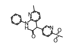 CC(=O)C(c1ccc(S(C)(=O)=O)nc1)c1ccc(C)nc1Nc1ccccc1